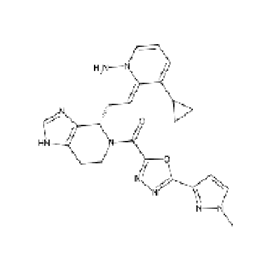 Cn1ccc(-c2nnc(C(=O)N3CCc4[nH]cnc4[C@@H]3C/C=C3/C(C4CC4)=CC=CN3N)o2)n1